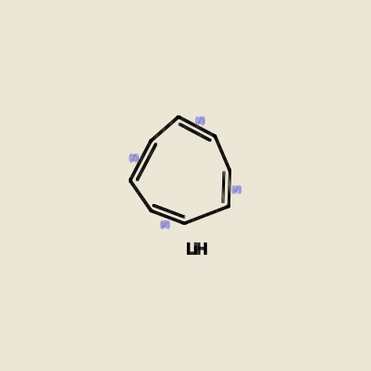 C1=C\C=C/C=C\C=C/1.[LiH]